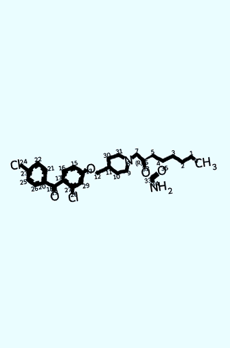 CCCCCC[C@H](CN1CCC(COc2ccc(C(=O)c3ccc(Cl)cc3)c(Cl)c2)CC1)OC(N)=O